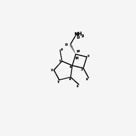 CC1CCC(C)C12C(C)C[C@H]2CN